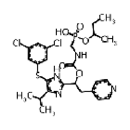 CCC(C)OP(=O)(O)CNC(=O)OC(Cc1ccncc1)c1nc(C(C)C)c(Sc2cc(Cl)cc(Cl)c2)[nH]1